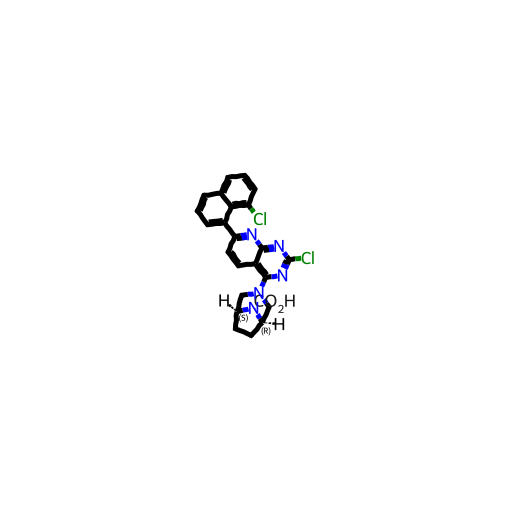 O=C(O)N1[C@@H]2CC[C@H]1CN(c1nc(Cl)nc3nc(-c4cccc5cccc(Cl)c45)ccc13)C2